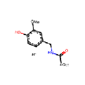 CCCCCCCCC(=O)NCc1ccc(O)c(OC)c1.[H+]